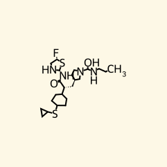 CCCNC(O)N1CC[C@H](C[C@@H](C(=O)N[C@@H]2NC[C@H](F)S2)C2CCC(SC3CC3)CC2)C1